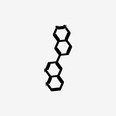 c1cnc2ncc(-c3ccc4cnncc4c3)cc2c1